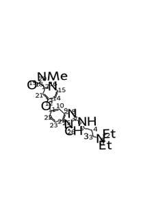 CCN(CC)CCCNc1nc2cc(Oc3ccnc(C(=O)NC)c3)ccc2n1C